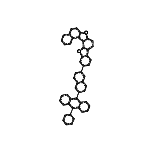 c1ccc(-c2c3ccccc3c(-c3ccc4cc(-c5ccc6c(c5)oc5c6ccc6oc7ccc8ccccc8c7c65)ccc4c3)c3ccccc23)cc1